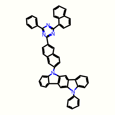 c1ccc(-c2nc(-c3ccc4cc(-n5c6ccccc6c6cc7c(cc65)c5ccccc5n7-c5ccccc5)ccc4c3)nc(-c3cccc4ccccc34)n2)cc1